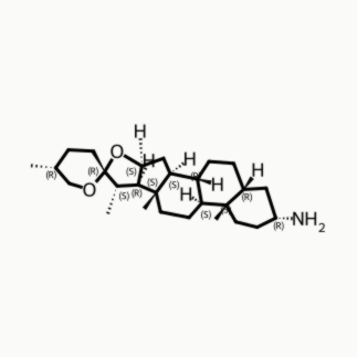 C[C@@H]1CC[C@@]2(OC1)O[C@H]1C[C@H]3[C@@H]4CC[C@@H]5C[C@H](N)CC[C@]5(C)[C@H]4CC[C@]3(C)[C@H]1[C@@H]2C